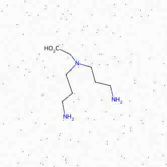 NCCCN(CCCN)CC(=O)O